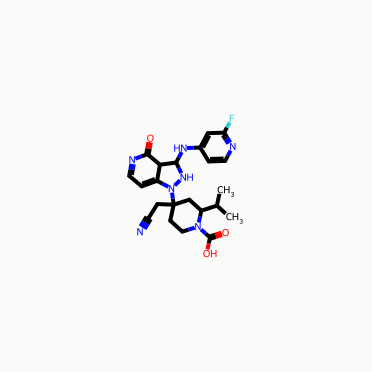 CC(C)C1CC(CC#N)(N2NC(Nc3ccnc(F)c3)C3C(=O)N=CC=C32)CCN1C(=O)O